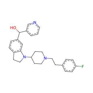 OC(c1cccnc1)c1ccc2c(c1)N(C1CCN(CCc3ccc(F)cc3)CC1)CC2